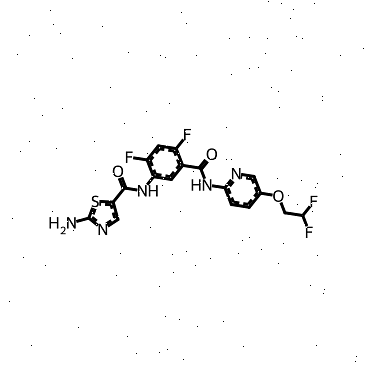 Nc1ncc(C(=O)Nc2cc(C(=O)Nc3ccc(OCC(F)F)cn3)c(F)cc2F)s1